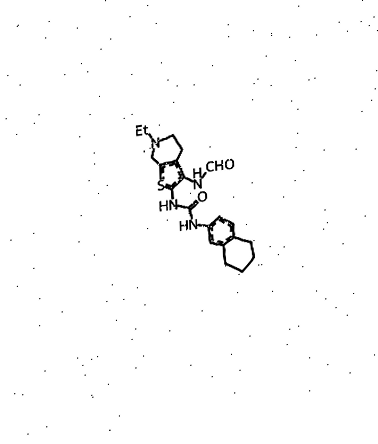 CCN1CCc2c(sc(NC(=O)Nc3ccc4c(c3)CCCC4)c2NC=O)C1